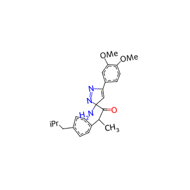 COc1ccc(C2=CC(N)(C(=O)C(C)c3ccc(CC(C)C)cc3)N=N2)cc1OC